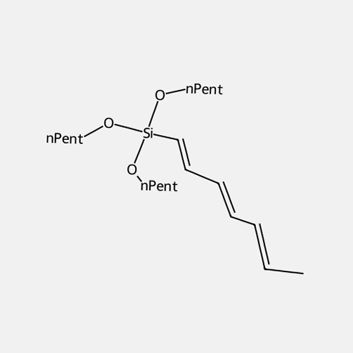 CC=CC=CC=C[Si](OCCCCC)(OCCCCC)OCCCCC